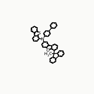 CC1(c2cccc3c2oc2ccc(N(c4ccc(-c5ccccc5)cc4)c4cccc5c4sc4ccccc45)cc23)c2ccccc2-c2ccccc21